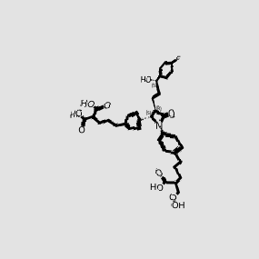 O=C(O)C(CCCc1ccc(N2C(=O)[C@H](CC[C@H](O)c3ccc(F)cc3)[C@H]2c2ccc(CCCC(C(=O)O)C(=O)O)cc2)cc1)COO